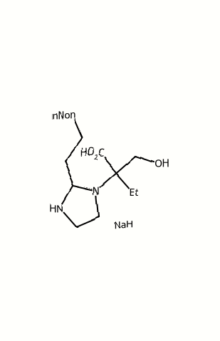 CCCCCCCCCCCC1NCCN1C(CC)(CO)C(=O)O.[NaH]